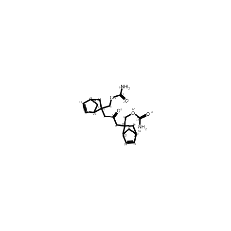 NC(=O)OCC1(CC(=O)CC2(COC(N)=O)CC3C=CC2C3)CC2C=CC1C2